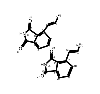 CCC=Cc1cccc2c1C(=O)NC2=O.CCC=Cc1cccc2c1C(=O)NC2=O